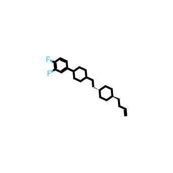 C=CCC[C@H]1CC[C@H](CCC2CCC(c3ccc(F)c(F)c3)CC2)CC1